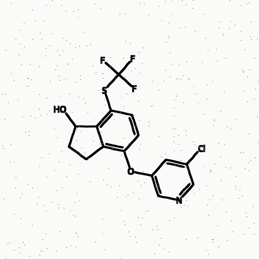 OC1CCc2c(Oc3cncc(Cl)c3)ccc(SC(F)(F)F)c21